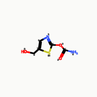 NC(=O)Oc1ncc(CO)s1